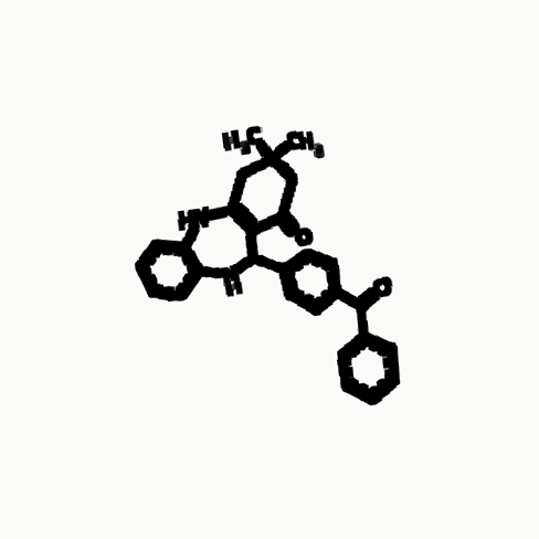 CC1(C)CC(=O)C2=C(C1)Nc1ccccc1NC2c1ccc(C(=O)c2ccccc2)cc1